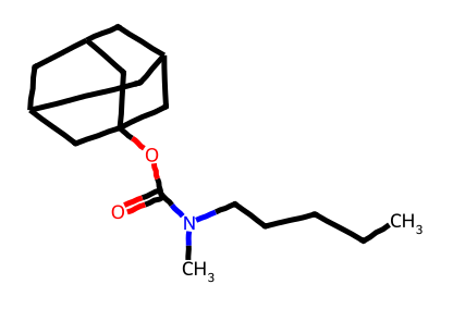 CCCCCN(C)C(=O)OC12CC3CC(CC(C3)C1)C2